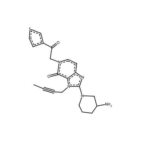 CC#CCn1c(N2CCCC(N)C2)nc2ccn(CC(=O)c3ccsc3)c(=O)c21